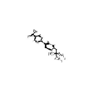 CC(C)(C)Cc1ccc(-c2ncc(C(=O)O)cn2)cc1